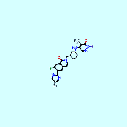 CCc1cnc(-c2cc3ccn(C[C@@H]4CCC[C@H](Nc5cnn(I)c(=O)c5C(F)(F)F)C4)c(=O)c3cc2F)nc1